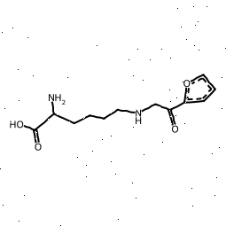 NC(CCCCNCC(=O)c1ccco1)C(=O)O